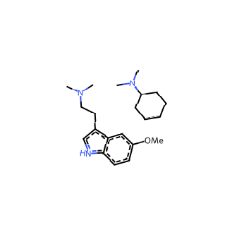 CN(C)C1CCCCC1.COc1ccc2[nH]cc(CCN(C)C)c2c1